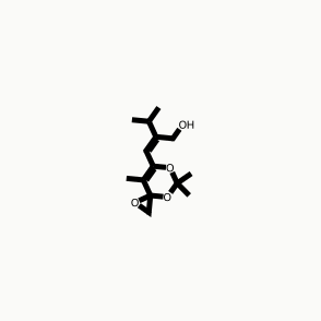 CC1=C(C=C(CO)C(C)C)OC(C)(C)OC12CO2